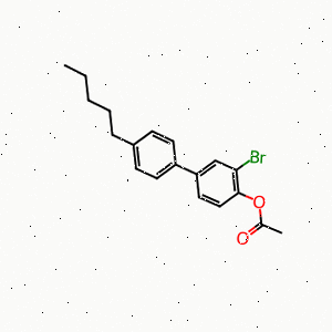 CCCCCc1ccc(-c2ccc(OC(C)=O)c(Br)c2)cc1